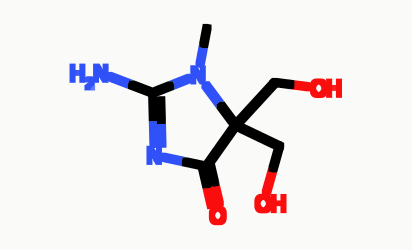 CN1C(N)=NC(=O)C1(CO)CO